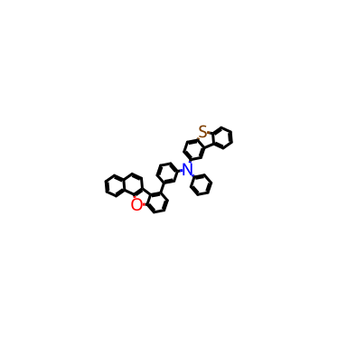 c1ccc(N(c2cccc(-c3cccc4oc5c6ccccc6ccc5c34)c2)c2ccc3sc4ccccc4c3c2)cc1